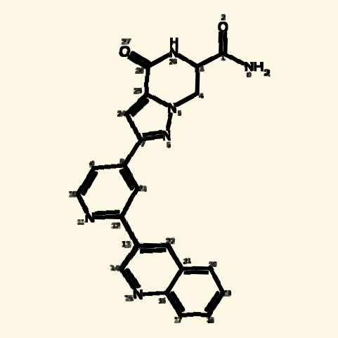 NC(=O)C1Cn2nc(-c3ccnc(-c4cnc5ccccc5c4)c3)cc2C(=O)N1